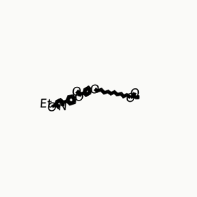 C=CC(=O)OCCCCCCCCCCOc1ccc(C(=O)Oc2ccc(-c3ccc(OCC)cn3)cc2)cc1